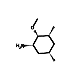 CO[C@@H]1[C@H](C)C[C@H](C)C[C@@H]1N